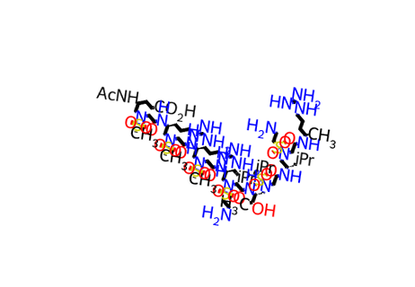 CC(=O)N[C@@H](CCC(=O)O)CN(CC(=O)N[C@@H](CCCNC(=N)N)CN(CC(=O)N[C@@H](CCCNC(=N)N)CN(CC(=O)N[C@@H](CC(C)C)CN(CC(=O)N[C@H](CN(CC(=O)N[C@@H](CC(C)C)CN(CC(=O)N[C@H](C)CCCNC(=N)N)S(=O)(=O)CCN)S(=O)(=O)CC(C)C)C(C)O)S(=O)(=O)CCN)S(C)(=O)=O)S(C)(=O)=O)S(C)(=O)=O